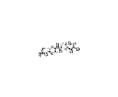 CC1Sc2ccc(C(=O)Nc3ccc(OS(=O)F)cc3)cc2NC1=O